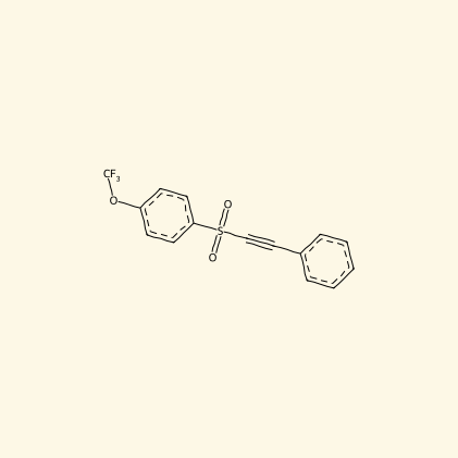 O=S(=O)(C#Cc1ccccc1)c1ccc(OC(F)(F)F)cc1